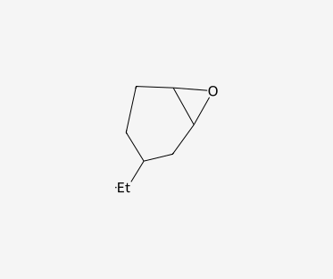 C[CH]C1CCC2OC2C1